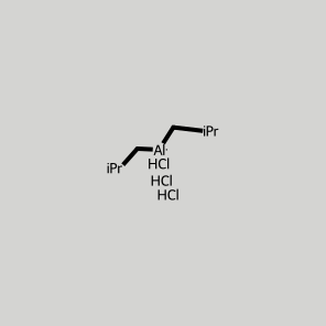 CC(C)[CH2][Al][CH2]C(C)C.Cl.Cl.Cl